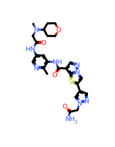 Cc1ncc(NC(=O)CN(C)C2CCOCC2)cc1NC(=O)c1cnn2cc(-c3cnn(CC(N)=O)c3)sc12